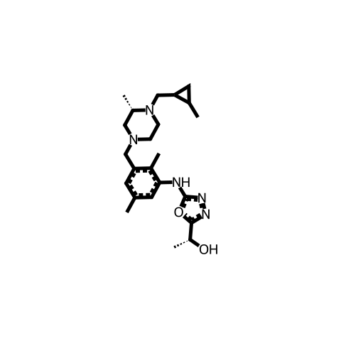 Cc1cc(CN2CCN(CC3CC3C)[C@@H](C)C2)c(C)c(Nc2nnc([C@@H](C)O)o2)c1